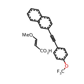 COC=CC(=O)O.FC(F)(F)Oc1ccc(C#Cc2ccc3ccccc3c2)cc1